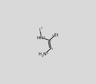 CC/C(=C/N)NI